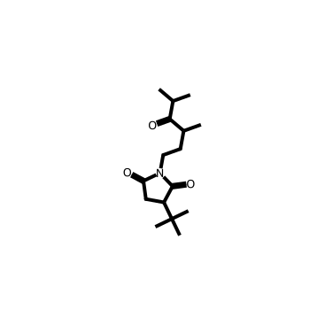 CC(C)C(=O)C(C)CCN1C(=O)CC(C(C)(C)C)C1=O